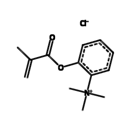 C=C(C)C(=O)Oc1ccccc1[N+](C)(C)C.[Cl-]